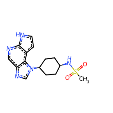 CS(=O)(=O)N[C@H]1CC[C@@H](n2cnc3cnc4[nH]ccc4c32)CC1